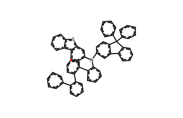 c1ccc(-c2ccccc2-c2ccccc2-c2ccccc2N(c2ccc3c(c2)-c2ccccc2C3(c2ccccc2)c2ccccc2)c2ccc3c(c2)sc2ccccc23)cc1